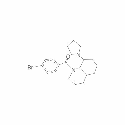 O=C(c1ccc(Br)cc1)N1CCCC2CCCC(N3CCCC3)C21